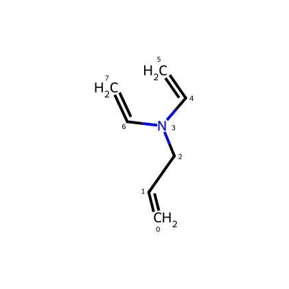 C=CCN(C=C)C=C